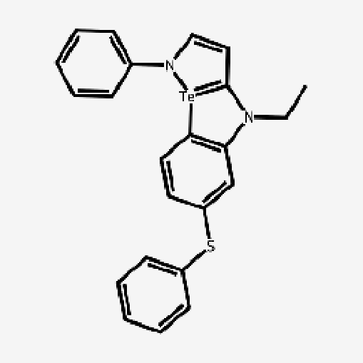 CCN1C2=[Te](c3ccc(Sc4ccccc4)cc31)N(c1ccccc1)C=C2